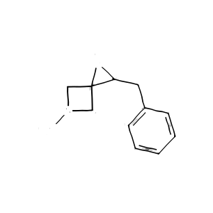 O=C(O)N1CC2(C1)OC2Cc1ccccc1